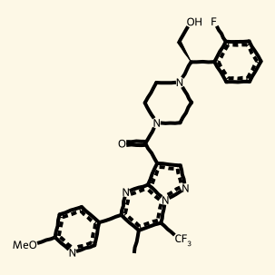 COc1ccc(-c2nc3c(C(=O)N4CCN([C@@H](CO)c5ccccc5F)CC4)cnn3c(C(F)(F)F)c2C)cn1